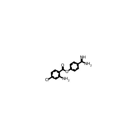 N=C(N)c1ccc(OC(=O)c2ccc(Cl)cc2N)cc1